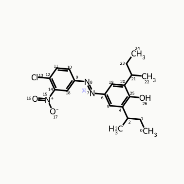 CCC(C)c1cc(/N=N/c2ccc(Cl)c([N+](=O)[O-])c2)cc(C(C)CC)c1O